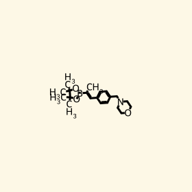 CC(=Cc1ccc(CN2CCOCC2)cc1)B1OC(C)(C)C(C)(C)O1